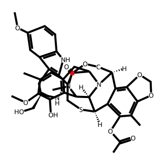 COc1ccc2[nH]c3c(c2c1)C[C@H](CO)N[C@]31CS[C@@H]2c3c(OC(C)=O)c(C)c4c(c3[C@H](COC1=O)N1C3Cc5cc(C)c(OC)c(O)c5C([C@H]21)N(C)C3)OCO4